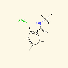 Cl.Cl.[CH2]=[Ti]([NH]C(C)(C)C)[C]1=C(C)C(C)=C(C)C1C